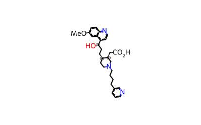 COc1ccc2nccc([C@@H](O)CC[C@@H]3CCN(CCCCc4cccnc4)C[C@@H]3CC(=O)O)c2c1